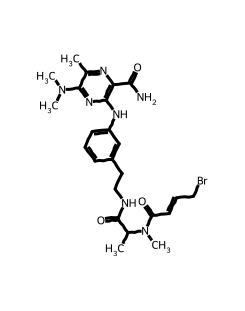 Cc1nc(C(N)=O)c(Nc2cccc(CCNC(=O)C(C)N(C)C(=O)C=CCBr)c2)nc1N(C)C